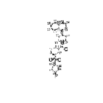 O=C(C1CCCN(S(=O)(=O)c2ccc(F)cc2)C1)N1CCN(c2ncnc3ccccc23)CC1